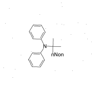 CCCCCCCCCC(C)(C)N(c1ccccc1)c1ccccc1